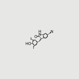 N#Cc1ccc2c(c1)NC(=O)C2=Cc1cc(I)c(O)c(I)c1